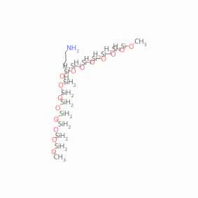 CO[SiH2]O[SiH2]O[SiH2]O[SiH2]O[SiH2]O[SiH2]O[SiH2]O[SiH](CCCN)O[SiH2]O[SiH2]O[SiH2]O[SiH2]O[SiH2]O[SiH2]OC